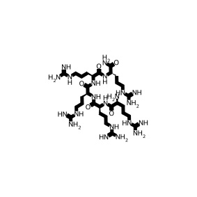 N=C(N)NCCC[C@H](NC(=O)[C@H](CCCNC(=N)N)NC(=O)[C@H](CCCNC(=N)N)NC(=O)[C@H](CCCNC(=N)N)NC(=O)[C@@H](N)CCCNC(=N)N)C(N)=O